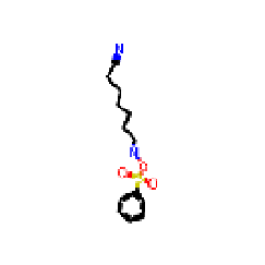 N#CCCCCCC=NOS(=O)(=O)c1ccccc1